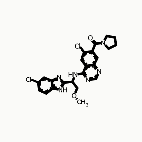 COCC(Nc1ncnc2cc(C(=O)N3CCCC3)c(Cl)cc12)c1nc2cc(Cl)ccc2[nH]1